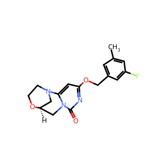 Cc1cc(F)cc(COc2cc3n(c(=O)n2)C[C@@H]2CN3CCO2)c1